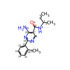 CCC(C)NC(=O)c1cnc(-c2ccccc2C)nc1N